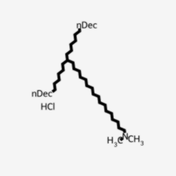 CCCCCCCCCCCCCCCCC(CCCCCCCCCCCCCCCC)CCCCCCCCCCCCCCCCCN(C)C.Cl